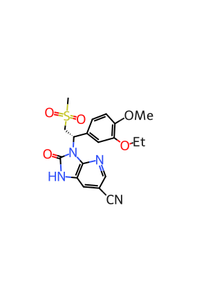 CCOc1cc([C@@H](CS(C)(=O)=O)n2c(=O)[nH]c3cc(C#N)cnc32)ccc1OC